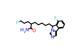 NC(=O)C(CCCF)CCCCCC1c2c(F)cccc2-c2cncn21